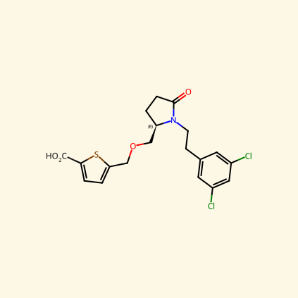 O=C(O)c1ccc(COC[C@H]2CCC(=O)N2CCc2cc(Cl)cc(Cl)c2)s1